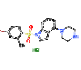 Cl.N#Cc1cc(Br)ccc1S(=O)(=O)n1ccc2c(N3CCNCC3)cccc21